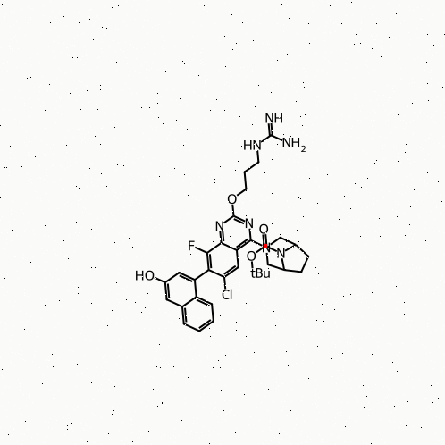 CC(C)(C)OC(=O)N1C2CCC1CN(c1nc(OCCCNC(=N)N)nc3c(F)c(-c4cc(O)cc5ccccc45)c(Cl)cc13)C2